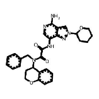 Nc1ncc(NC(=O)C(=O)N(Cc2ccccc2)C2CCOc3ccccc32)c2nn(C3CCCCO3)cc12